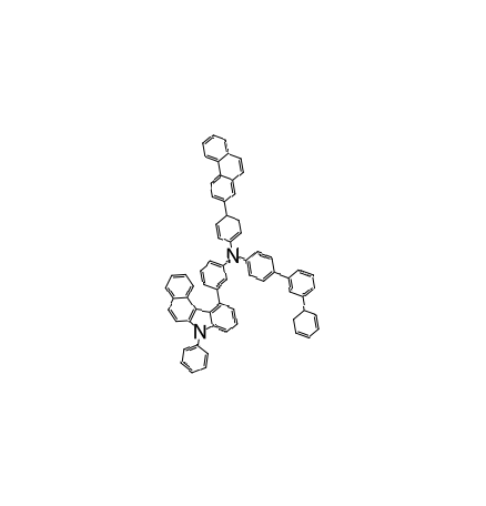 C1=CCC(c2cccc(-c3ccc(N(C4=CCC(c5ccc6c(ccc7ccccc76)c5)C=C4)c4cccc(-c5cccc6c5c5c7ccccc7ccc5n6-c5ccccc5)c4)cc3)c2)C=C1